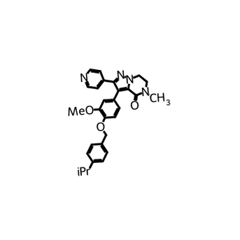 COc1cc(-c2c(-c3ccncc3)nn3c2C(=O)N(C)CC3)ccc1OCc1ccc(C(C)C)cc1